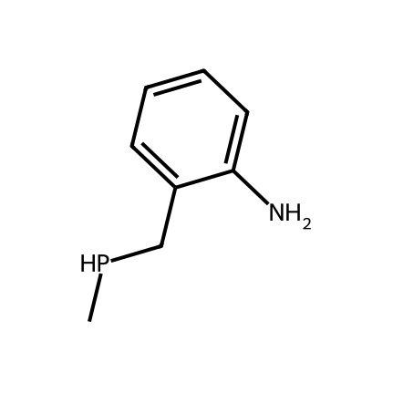 CPCc1ccccc1N